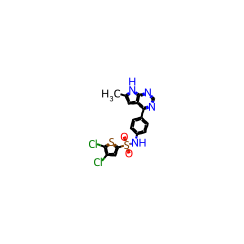 Cc1cc2c(-c3ccc(NS(=O)(=O)c4cc(Cl)c(Cl)s4)cc3)ncnc2[nH]1